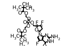 CC(C)(C)C(=O)OCOP(=O)(OCOC(=O)C(C)(C)C)OC[C@@]1(F)O[C@@H](n2cc(F)c3c(=O)[nH]c(N)nc32)C[C@@H]1F